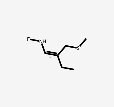 CC/C(=C/NF)CSC